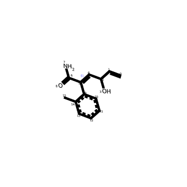 C=CC(O)/C=C(/C(N)=O)c1ccccc1C